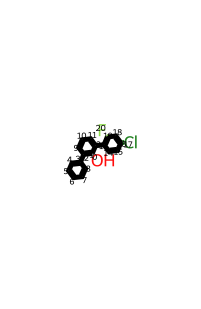 Oc1c(-c2ccccc2)cccc1-c1ccc(Cl)cc1F